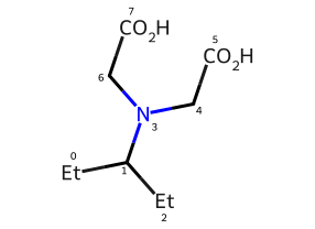 CCC(CC)N(CC(=O)O)CC(=O)O